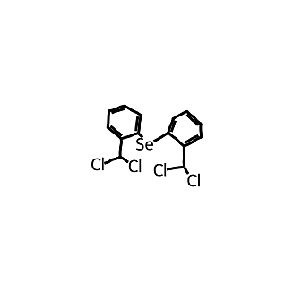 ClC(Cl)c1ccccc1[Se]c1ccccc1C(Cl)Cl